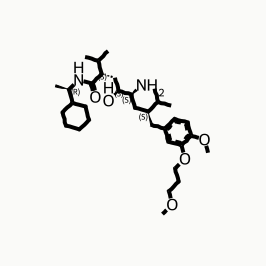 COCCCOc1cc(C[C@@H](C[C@H](N)[C@@H](O)C[C@H](C(=O)N[C@H](C)C2CCCCC2)C(C)C)C(C)C)ccc1OC